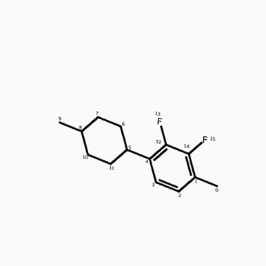 Cc1ccc(C2CCC(C)CC2)c(F)c1F